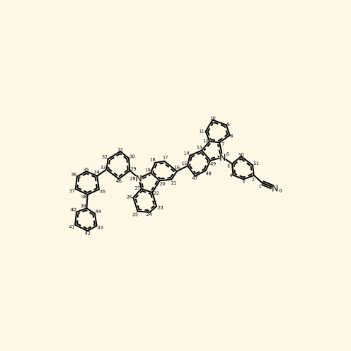 N#Cc1ccc(-n2c3ccccc3c3cc(-c4ccc5c(c4)c4ccccc4n5-c4cccc(-c5cccc(-c6ccccc6)c5)c4)ccc32)cc1